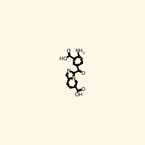 Nc1ccc(C(=O)c2ncc3ccc(C(=O)O)cn23)cc1C(=O)O